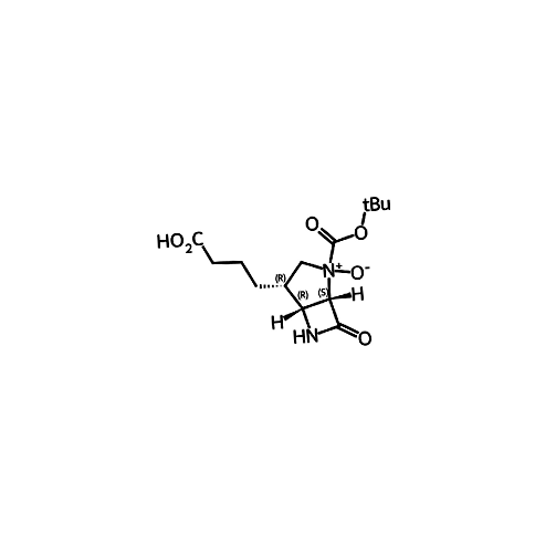 CC(C)(C)OC(=O)[N+]1([O-])C[C@@H](CCCC(=O)O)[C@H]2NC(=O)[C@H]21